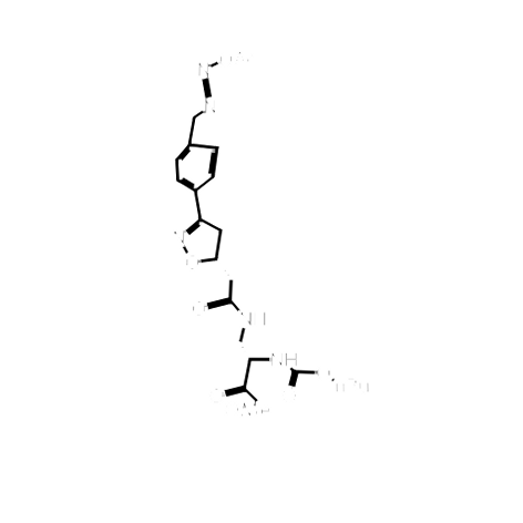 CCCCOC(=O)N[C@@H](CNC(=O)C[C@H]1CC(c2ccc(CN=NOC(C)=O)cc2)=NO1)C(=O)OC